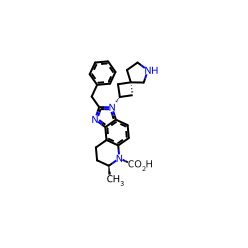 C[C@H]1CCc2c(ccc3c2nc(Cc2ccccc2)n3[C@H]2C[C@@]3(CCNC3)C2)N1C(=O)O